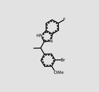 COc1ccc(C(C)c2nc3cc(F)ccc3[nH]2)cc1Br